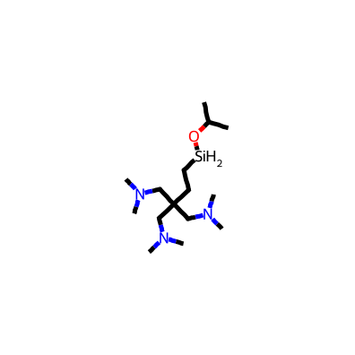 CC(C)O[SiH2]CCC(CN(C)C)(CN(C)C)CN(C)C